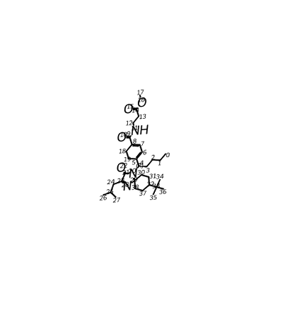 CCCC[C@H](C1=CC=C(C(=O)NCCC(=O)OC)CC1)N1C(=O)C(CC(C)C)=NC12CCC(C(C)(C)C)CC2